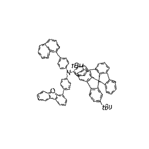 CC(C)(C)c1ccc2c(c1)C1(c3cc(C(C)(C)C)ccc3-2)c2ccccc2-c2cccc(-c3ccc(N(c4ccc(-c5cccc6ccccc56)cc4)c4ccc(-c5cccc6c5oc5ccccc56)cc4)cc3)c21